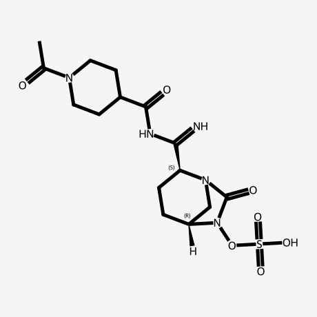 CC(=O)N1CCC(C(=O)NC(=N)[C@@H]2CC[C@@H]3CN2C(=O)N3OS(=O)(=O)O)CC1